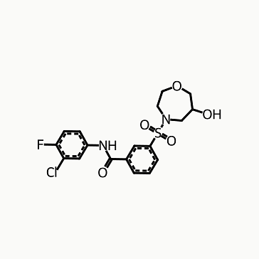 O=C(Nc1ccc(F)c(Cl)c1)c1cccc(S(=O)(=O)N2CCOCC(O)C2)c1